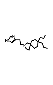 CCCC1(CCC)CCC2(CCN(CCc3c[nH]cn3)C2)CC1